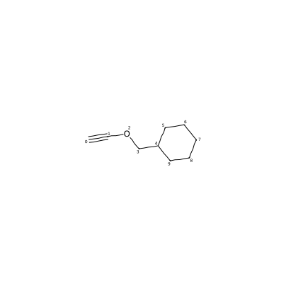 C#COCC1CCCCC1